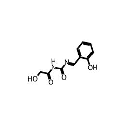 O=C(CO)NC(=O)N=Cc1ccccc1O